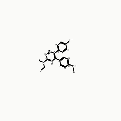 CCN(C)c1nnc(-c2ccc(F)cc2)c(-c2ccc(OC)cc2)n1